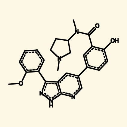 COc1ccccc1-c1n[nH]c2ncc(-c3ccc(O)c(C(=O)N(C)C4CCN(C)C4)c3)cc12